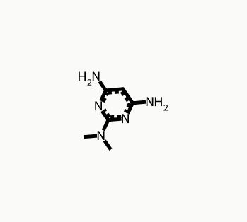 CN(C)c1nc(N)cc(N)n1